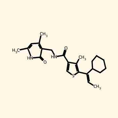 C/C=C(/c1scc(C(=O)NCc2c(C)cc(C)[nH]c2=O)c1C)C1CCCCC1